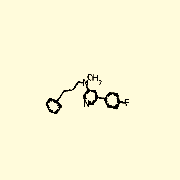 CN(CCCc1ccccc1)c1cncc(-c2ccc(F)cc2)c1